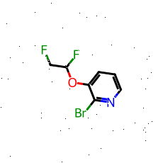 FCC(F)Oc1cccnc1Br